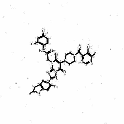 CCc1c(N2CCN(C(=O)c3ncnc(C)c3O)CC2)c(=O)n2nc(-c3cc4c(cc3F)OC(C)C4)nc2n1CC(=O)Nc1ccc(C(F)(F)F)cc1Cl